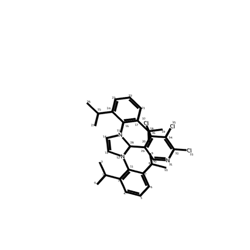 CC(C)c1cccc(C(C)C)c1N1C=CN(c2c(C(C)C)cccc2C(C)C)C1c1cnc(Cl)c(Cl)c1Cl